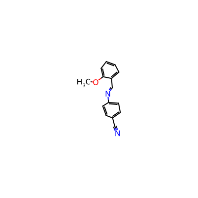 COc1ccccc1/C=N/c1ccc(C#N)cc1